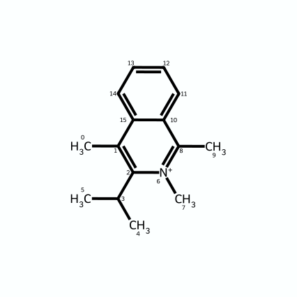 Cc1c(C(C)C)[n+](C)c(C)c2ccccc12